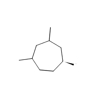 CC1CC[C@H](F)CC(C)C1